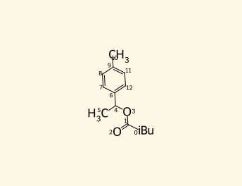 CCC(C)C(=O)OC(C)c1ccc(C)cc1